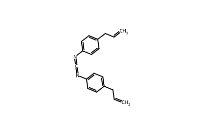 C=CCc1ccc(N=C=Nc2ccc(CC=C)cc2)cc1